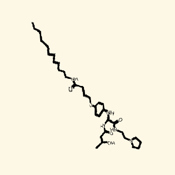 CCCCCCCCCCCCNC(=O)CCCOc1ccc(NC(NC(=O)CC(C)O)C(=O)NCCN2CCCC2)cc1